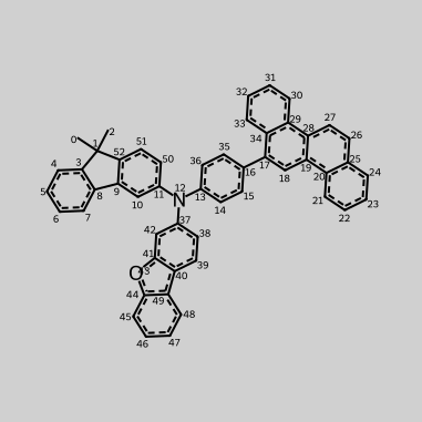 CC1(C)c2ccccc2-c2cc(N(c3ccc(-c4cc5c6ccccc6ccc5c5ccccc45)cc3)c3ccc4c(c3)oc3ccccc34)ccc21